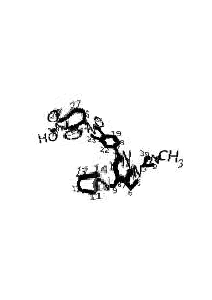 CN1CC(n2ccc3c(CN4CCCC4)cc(-c4ccc5c(c4)CN(C4CCC(=O)N(CO)C4=O)C5=O)nc32)C1